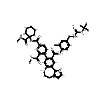 CNC(=O)C1(NC(=O)c2ccc(-c3cc4c(cc3C(=O)Nc3ccc(CNC(=O)OC(C)(C)C)cc3C)-c3sccc3CCO4)c(C(=O)OC)n2)CCCCC1